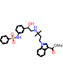 COC(=O)c1cn(CCC(C)(C)NC[C@H](O)c2cccc(NS(=O)(=O)c3ccccc3)c2)c2ccccc12